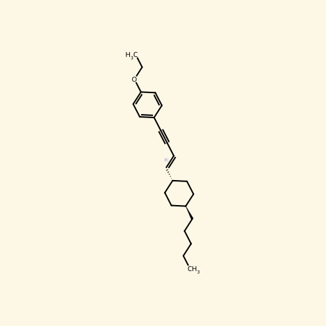 CCCCC[C@H]1CC[C@H](/C=C/C#Cc2ccc(OCC)cc2)CC1